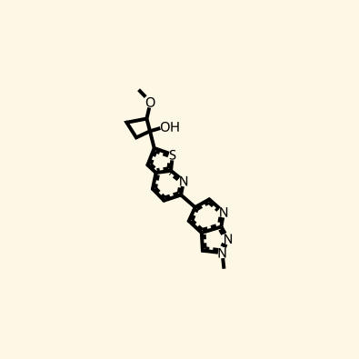 COC1CCC1(O)c1cc2ccc(-c3cnc4nn(C)cc4c3)nc2s1